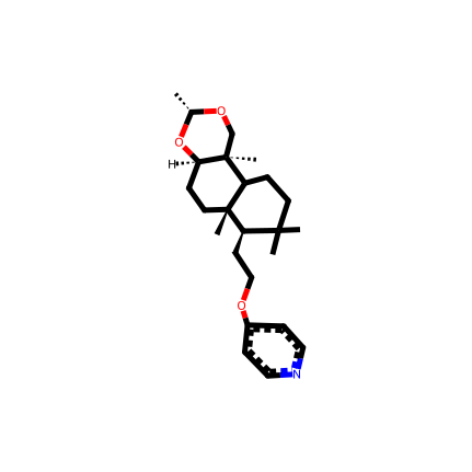 C[C@@H]1OC[C@@]2(C)C3CCC(C)(C)[C@@H](CCOc4ccncc4)[C@]3(C)CC[C@H]2O1